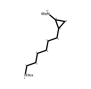 CCCCCCCCCCCCC1CC1NC